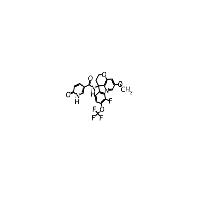 COc1cnc2c(c1)OCCC2(NC(=O)c1ccc(=O)[nH]c1)c1ccc(OC(F)(F)F)c(F)c1